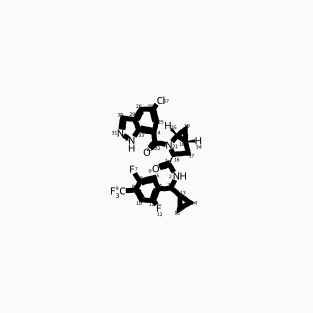 O=C(NC(c1cc(F)c(C(F)(F)F)cc1F)C1CC1)[C@H]1C[C@H]2C[C@H]2N1C(=O)c1cc(Cl)cc2cn[nH]c12